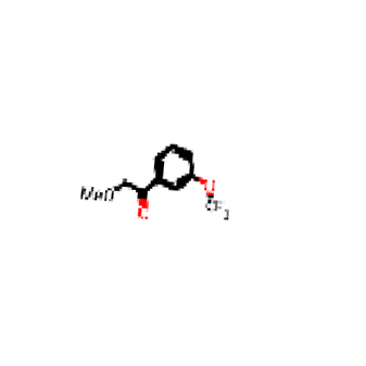 COCC(=O)c1cccc(OC(F)(F)F)c1